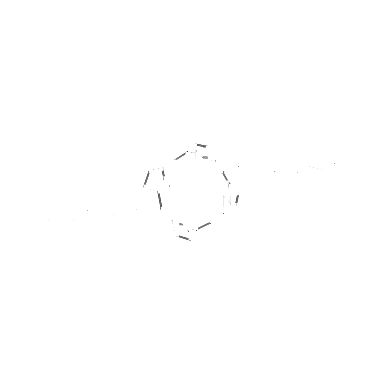 CCCCCCCCCCC1=C2C=CC(=N2)C=C2C=CC(=N2)C(CCCCCCCCCC)=C2C=CC(=N2)C=C2C=CC1=N2